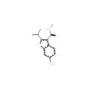 CNC(=O)c1c(C(C)C)oc2cc(O)ccc12